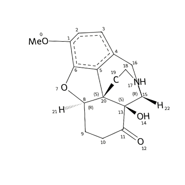 COc1ccc2c3c1O[C@@H]1CCC(=O)[C@@]4(O)[C@@H](C2)NCC[C@]314